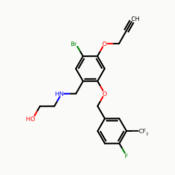 C#CCOc1cc(OCc2ccc(F)c(C(F)(F)F)c2)c(CNCCO)cc1Br